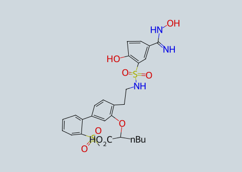 CCCCC(Oc1cc(-c2ccccc2S(C)(=O)=O)ccc1CCNS(=O)(=O)c1cc(C(=N)NO)ccc1O)C(=O)O